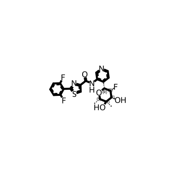 C[C@@H]1O[C@H](c2ccncc2NC(=O)c2csc(-c3c(F)cccc3F)n2)[C@H](F)[C@H](O)[C@@]1(C)O